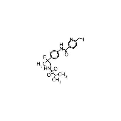 CC(C)S(=O)(=O)NCC(C)(F)c1ccc(NC(=O)c2ccc(CI)nc2)cc1